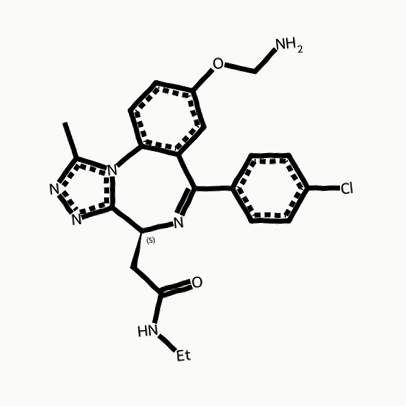 CCNC(=O)C[C@@H]1N=C(c2ccc(Cl)cc2)c2cc(OCN)ccc2-n2c(C)nnc21